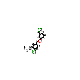 FC(F)(F)c1cc(COc2cccc(CCl)c2)ccc1Cl